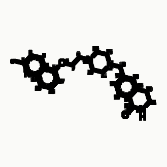 Cc1ccc2c(OCCN3CCN(Cc4ccc5c(c4)CCNC5=O)CC3)cccc2n1